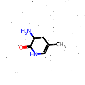 CC1=CNC(=O)C(N)C1